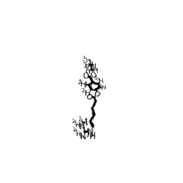 [2H]/N=C(\N([2H])[2H])N([2H])CCCCCC(=O)Oc1c([2H])c([2H])c(C(=O)OC([2H])([2H])C([2H])([2H])[2H])c([2H])c1[2H]